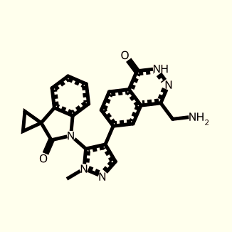 Cn1ncc(-c2ccc3c(=O)[nH]nc(CN)c3c2)c1N1C(=O)C2(CC2)c2ccccc21